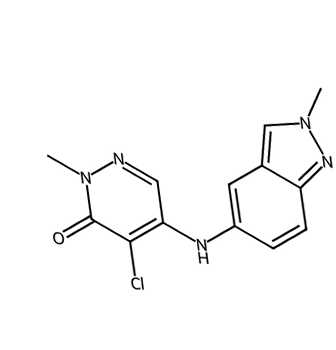 Cn1cc2cc(Nc3cnn(C)c(=O)c3Cl)ccc2n1